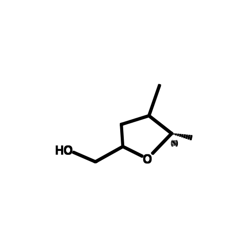 CC1CC(CO)O[C@H]1C